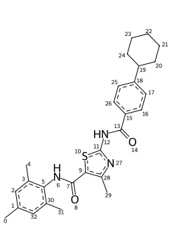 Cc1cc(C)c(NC(=O)c2sc(NC(=O)c3ccc(C4CCCCC4)cc3)nc2C)c(C)c1